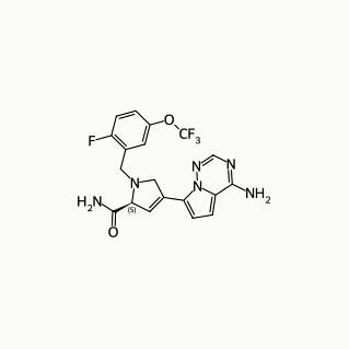 NC(=O)[C@@H]1C=C(c2ccc3c(N)ncnn23)CN1Cc1cc(OC(F)(F)F)ccc1F